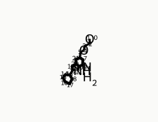 COCCOCc1cc(N)c2[nH]c(-c3ccccc3)cc2c1